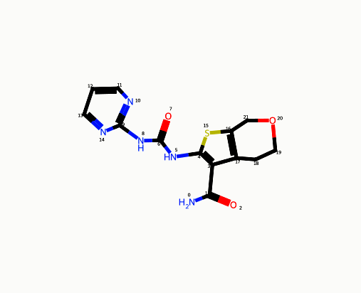 NC(=O)c1c(NC(=O)Nc2ncccn2)sc2c1CCOC2